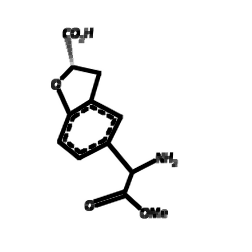 COC(=O)C(N)c1ccc2c(c1)C[C@@H](C(=O)O)O2